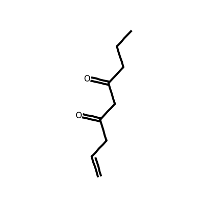 C=CCC(=O)CC(=O)CCC